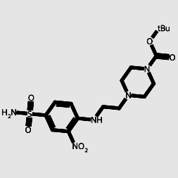 CC(C)(C)OC(=O)N1CCN(CCNc2ccc(S(N)(=O)=O)cc2[N+](=O)[O-])CC1